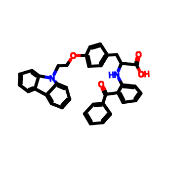 O=C(c1ccccc1)c1ccccc1NC(Cc1ccc(OCCn2c3ccccc3c3ccccc32)cc1)C(=O)O